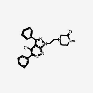 CN1CCN(CCn2nc(C3=CC=C=C=C3)c3c(Cl)c(-c4ccccc4)nnc32)CC1=O